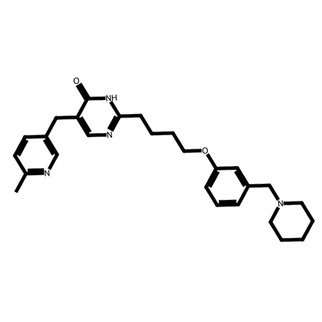 Cc1ccc(Cc2cnc(CCCCOc3cccc(CN4CCCCC4)c3)[nH]c2=O)cn1